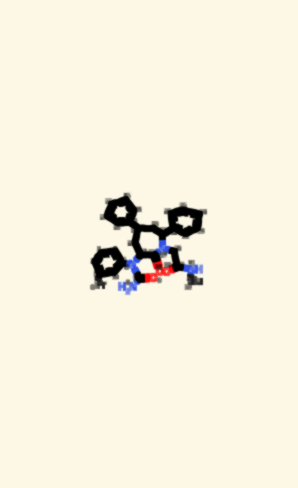 CC(C)c1cccc(N(C(N)=O)C2CC(c3ccccc3)CC(c3ccccc3)N(CC(=O)NC(C)(C)C)C2=O)c1